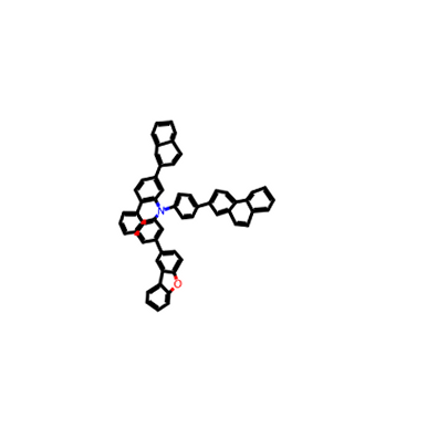 c1ccc(-c2ccc(-c3ccc4ccccc4c3)cc2N(c2ccc(-c3ccc4c(ccc5ccccc54)c3)cc2)c2cccc(-c3ccc4oc5ccccc5c4c3)c2)cc1